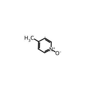 Cc1[c]c[n+]([O-])cc1